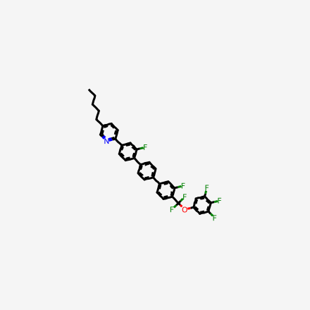 CCCCCc1ccc(-c2ccc(-c3ccc(-c4ccc(C(F)(F)Oc5cc(F)c(F)c(F)c5)c(F)c4)cc3)c(F)c2)nc1